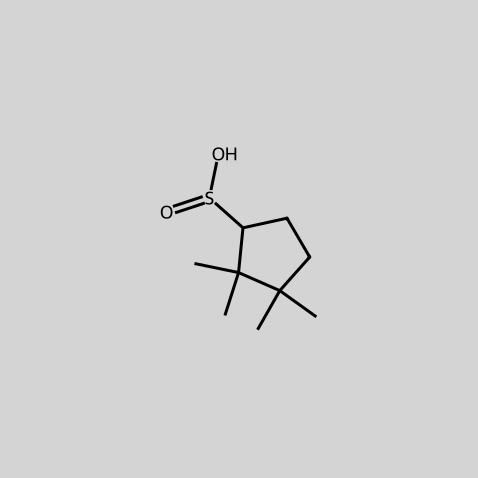 CC1(C)CCC(S(=O)O)C1(C)C